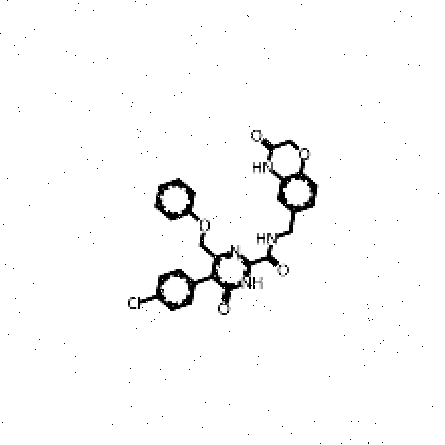 O=C1COc2ccc(CNC(=O)c3nc(COc4ccccc4)c(-c4ccc(Cl)cc4)c(=O)[nH]3)cc2N1